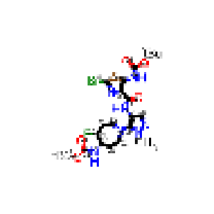 Cn1ncc(NC(=O)c2nc(Br)sc2NC(=O)OC(C)(C)C)c1N1CC[C@H](NC(=O)OC(C)(C)C)[C@@H](F)CC1